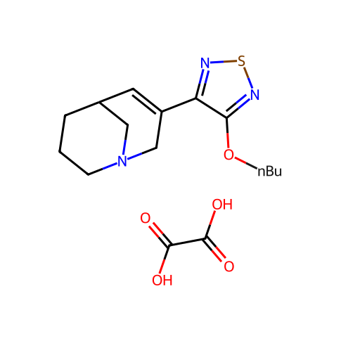 CCCCOc1nsnc1C1=CC2CCCN(C1)C2.O=C(O)C(=O)O